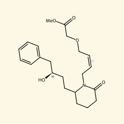 COC(=O)COC/C=C\CN1C(=O)CCCC1CC[C@@H](O)Cc1ccccc1